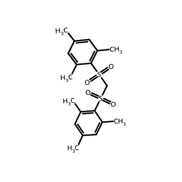 Cc1cc(C)c(S(=O)(=O)CS(=O)(=O)c2c(C)cc(C)cc2C)c(C)c1